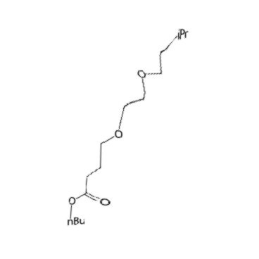 CCCCOC(=O)CCCOCCOCCC(C)C